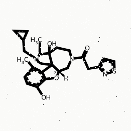 Cc1ccc(O)c2c1C13CCN(CC4CC4)C(C)C1(O)CCN(C(=O)Cc1ccsn1)C[C@@H]3O2